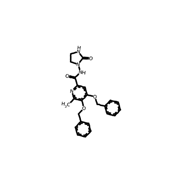 Cc1nc(C(=O)NN2CCNC2=O)cc(OCc2ccccc2)c1OCc1ccccc1